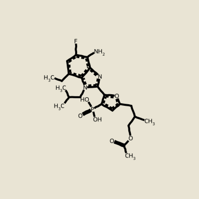 CCc1cc(F)c(N)c2nc(-c3oc(CC(C)COC(C)=O)cc3P(=O)(O)O)n(CC(C)C)c12